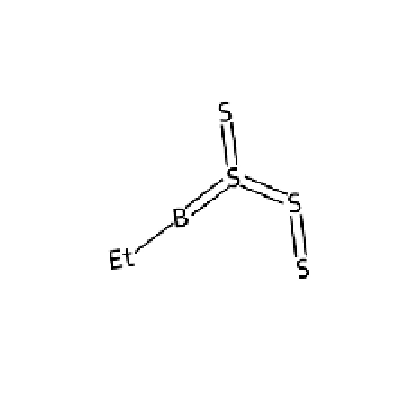 CCB=S(=S)=S=S